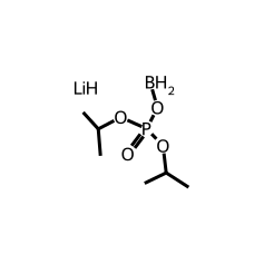 BOP(=O)(OC(C)C)OC(C)C.[LiH]